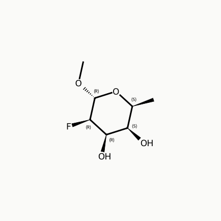 CO[C@@H]1O[C@@H](C)[C@@H](O)[C@@H](O)[C@H]1F